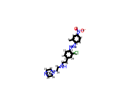 Cc1cc([N+](=O)[O-])ccc1N=Nc1ccc(CCNCC[N+]23CCN(CC2)CC3)cc1Cl